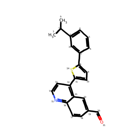 CC(C)c1cccc(-c2ccc(-c3ccnc4ccc(C=O)cc34)s2)c1